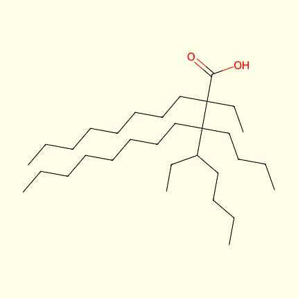 CCCCCCCCC(CC)(C(=O)O)C(CCCC)(CCCCCCCC)C(CC)CCCC